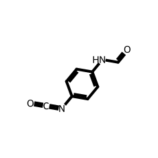 O=C=Nc1ccc(NC=O)cc1